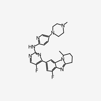 CC1CCCc2nc3c(F)cc(-c4nc(Nc5ccc(N6CCN(C)CC6)cn5)ncc4F)cc3n21